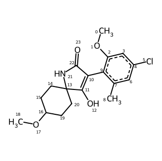 COc1cc(Cl)cc(C)c1C1=C(O)C2(CCC(OC)CC2)NC1=O